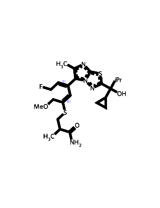 COC/C(=C\C(=C/CF)c1c(C)nc2sc(C(O)(C(C)C)C3CC3)nn12)SCC(C)C(N)=O